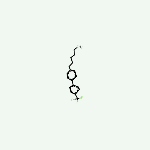 [CH2]CCCCCc1ccc(-c2ccc(C(F)(F)F)cc2)cc1